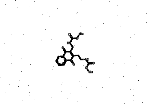 CC(C)(C)OC(=O)NCCC1=C(CNC(=O)OC(C)(C)C)C(=O)c2ccccc2C1=O